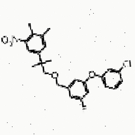 Cc1cc(C(C)(C)COCc2cc(F)cc(Oc3cccc(Cl)c3)c2)cc([N+](=O)[O-])c1C